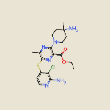 CCOC(=O)c1nc(Sc2ccnc(N)c2Cl)c(C)nc1N1CCC(C)(N)CC1